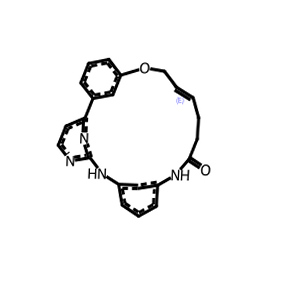 O=C1CC/C=C/COc2cccc(c2)-c2ccnc(n2)Nc2cccc(c2)N1